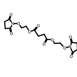 O=C(CCC(=O)OCCON1C(=O)CCC1=O)OCCON1C(=O)CCC1=O